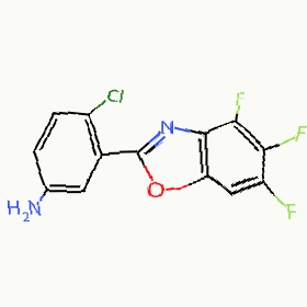 Nc1ccc(Cl)c(-c2nc3c(F)c(F)c(F)cc3o2)c1